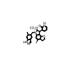 Cc1cc2[nH]ncc2cc1CN1c2cc(F)c3c(c2C(c2ccc[nH]c2=O)C1C(=O)O)OCC3